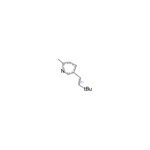 Cc1ccc(/C=C/C(C)(C)C)cn1